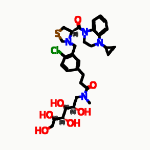 CN(C[C@H](O)[C@@H](O)[C@H](O)[C@H](O)CO)C(=O)CCc1ccc(Cl)c(CN2CSC[C@H]2C(=O)N2CCN(C3CC3)c3ccccc32)c1